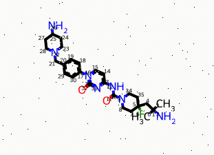 CC(C)(N)CC1(F)CCN(C(=O)Nc2ccn(-c3ccc(CN4CCC(N)CC4)cc3)c(=O)n2)CC1